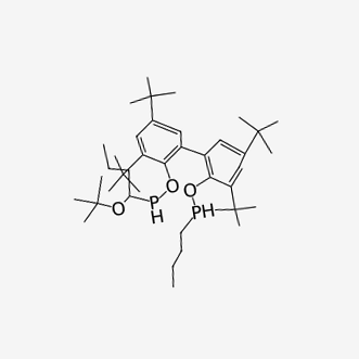 CCCCPOc1c(-c2cc(C(C)(C)C)cc(C(C)(C)C)c2OPC(CCC)OC(C)(C)C)cc(C(C)(C)C)cc1C(C)(C)C